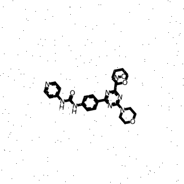 O=C(Nc1ccncc1)Nc1ccc(-c2nc(N3CCOCC3)nc(N3CC4CCC3CO4)n2)cc1